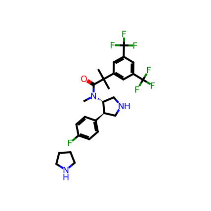 C1CCNC1.CN(C(=O)C(C)(C)c1cc(C(F)(F)F)cc(C(F)(F)F)c1)[C@@H]1CNC[C@H]1c1ccc(F)cc1